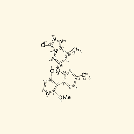 COc1nccc(C)c1-c1ccc(C(F)(F)F)cc1Oc1cc(C)c2nnc(Cl)n2n1